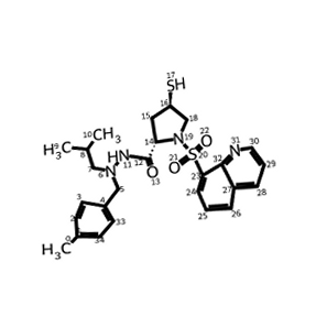 Cc1ccc(CN(CC(C)C)NC(=O)[C@@H]2C[C@@H](S)CN2S(=O)(=O)c2cccc3cccnc23)cc1